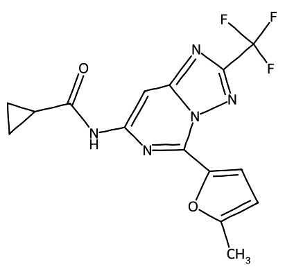 Cc1ccc(-c2nc(NC(=O)C3CC3)cc3nc(C(F)(F)F)nn23)o1